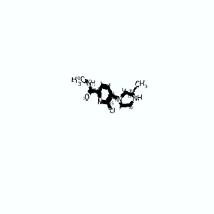 CNC(=O)c1ccc(N2CCN[C@H](C)C2)c(Cl)n1